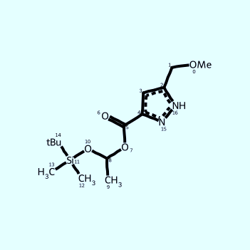 COCc1cc(C(=O)OC(C)O[Si](C)(C)C(C)(C)C)n[nH]1